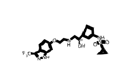 O=S(=O)(Nc1cccc([C@@H](O)CNCCOc2ccc3c(C(F)(F)F)n[nH]c3c2)c1)C1CC1